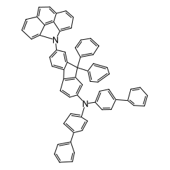 c1ccc(-c2ccc(N(c3ccc(-c4ccccc4)cc3)c3ccc4c(c3)C(c3ccccc3)(c3ccccc3)c3cc(-n5c6cccc7ccc8cccc5c8c76)ccc3-4)cc2)cc1